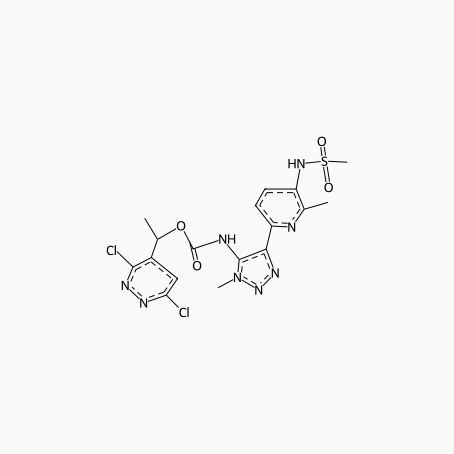 Cc1nc(-c2nnn(C)c2NC(=O)OC(C)c2cc(Cl)nnc2Cl)ccc1NS(C)(=O)=O